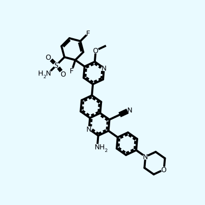 COc1ncc(-c2ccc3nc(N)c(-c4ccc(N5CCOCC5)cc4)c(C#N)c3c2)cc1C1(F)C=C(F)C=CC1S(N)(=O)=O